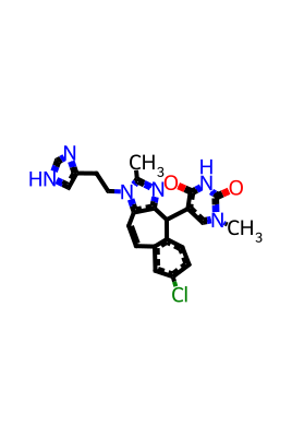 Cc1nc2c(n1CCc1c[nH]cn1)C=Cc1cc(Cl)ccc1C2c1cn(C)c(=O)[nH]c1=O